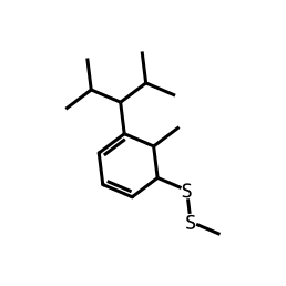 CSSC1C=CC=C(C(C(C)C)C(C)C)C1C